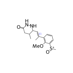 COc1c(/C(C)=C/C2NNC(=O)CC2C)cccc1[S+](C)[O-]